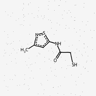 Cc1cc(NC(=O)CS)sn1